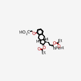 CCCCC[C@@H](CC[C@@H]1[C@H]2Cc3cccc(OCC(=O)O)c3C[C@H]2C[C@H]1OC(=O)CC)OC(=O)CC